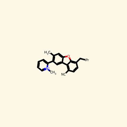 Cc1cc2oc3c(CC(C)C)ccc(C#N)c3c2cc1-c1cccc[n+]1C